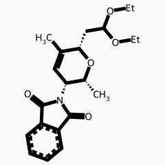 CCOC(C[C@@H]1O[C@H](C)[C@H](N2C(=O)c3ccccc3C2=O)C=C1C)OCC